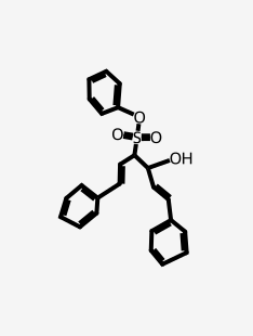 O=S(=O)(Oc1ccccc1)C(C=Cc1ccccc1)C(O)C=Cc1ccccc1